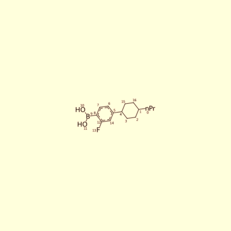 CCCC1CCC(c2ccc(B(O)O)c(F)c2)CC1